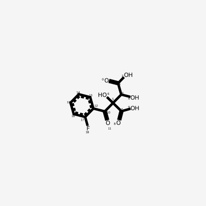 O=C(O)C(O)C(O)(C(=O)O)C(=O)c1ccccc1F